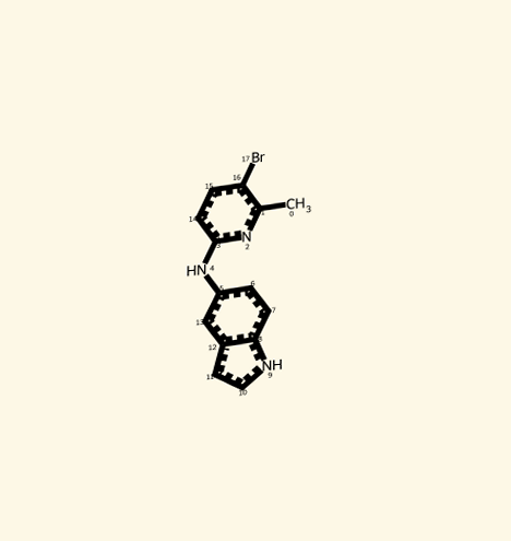 Cc1nc(Nc2ccc3[nH]ccc3c2)ccc1Br